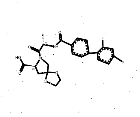 C[C@H](NC(=O)c1ccc(-c2ccc(F)cc2F)cc1)C(=O)N1CC2(C[C@H]1C(=O)O)OCCO2